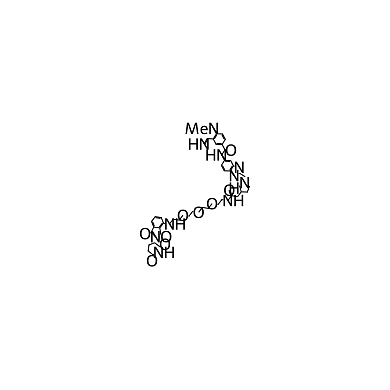 CNc1ccc(C(=O)Nc2ccc3[nH]c(CN4CCC(CC(=O)NCCOCCOCCOCCNc5cccc6c5C(=O)N(C5CCC(=O)NC5=O)C6=O)C4)nc3c2)cc1C=N